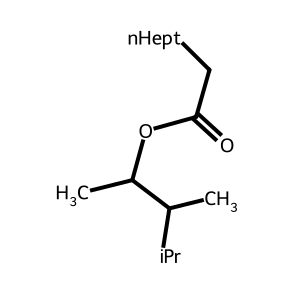 CCCCCCCCC(=O)OC(C)C(C)C(C)C